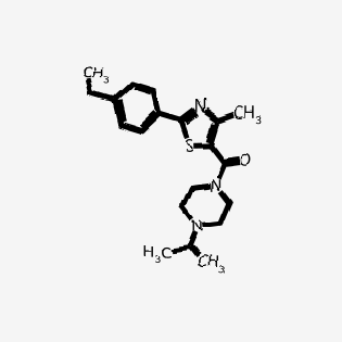 CCc1ccc(-c2nc(C)c(C(=O)N3CCN(C(C)C)CC3)s2)cc1